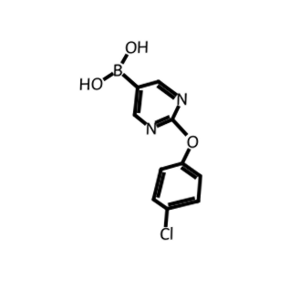 OB(O)c1cnc(Oc2ccc(Cl)cc2)nc1